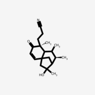 CC1C2C3(C=CC(=O)[C@@]2(C)CCC#N)CC([C@@H]1C)C(C)(O)C3